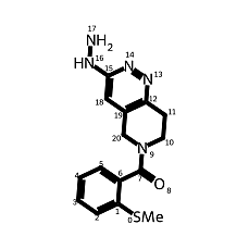 CSc1ccccc1C(=O)N1CCc2nnc(NN)cc2C1